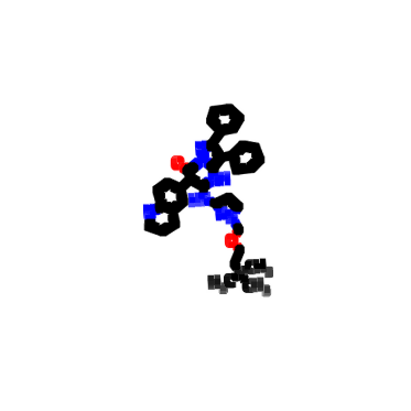 C[Si](C)(C)CCOCn1ccc(Nc2[nH]c3c(-c4ccccc4)c(-c4ccccc4)nn3c(=O)c2-c2ccc3ncccc3c2)n1